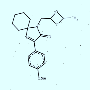 COc1ccc(C2=NC3(CCCCC3)N(CC3OC(C)O3)C2=O)cc1